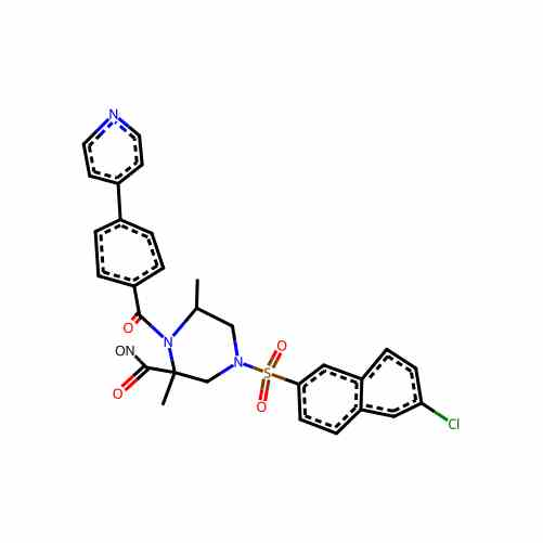 CC1CN(S(=O)(=O)c2ccc3cc(Cl)ccc3c2)CC(C)(C(=O)N=O)N1C(=O)c1ccc(-c2ccncc2)cc1